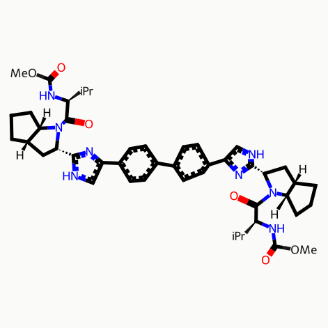 COC(=O)N[C@H](C(=O)N1[C@H](c2nc(-c3ccc(-c4ccc(-c5c[nH]c([C@@H]6C[C@@H]7CCC[C@@H]7N6C(=O)[C@@H](NC(=O)OC)C(C)C)n5)cc4)cc3)c[nH]2)C[C@@H]2CCC[C@@H]21)C(C)C